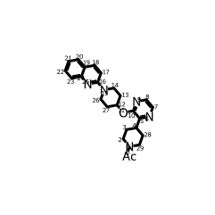 CC(=O)N1CCC(c2nccnc2OC2CCN(c3ccc4ccccc4n3)CC2)CC1